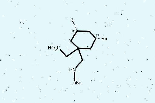 CCCCNCC1(CC(=O)O)C[C@H](C)C[C@H](C)C1